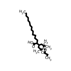 CCCCCCCCCCCCCCC(C(=O)O)C1CC(C)(C)N(OCCC)C(C)(C)C1